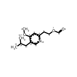 COc1cc(CCOC=O)ncc1CC(C)C